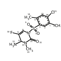 Cc1cc(S(=O)(=O)N2C=C(F)C(N)N(C)C2=O)c(C)cc1Cl